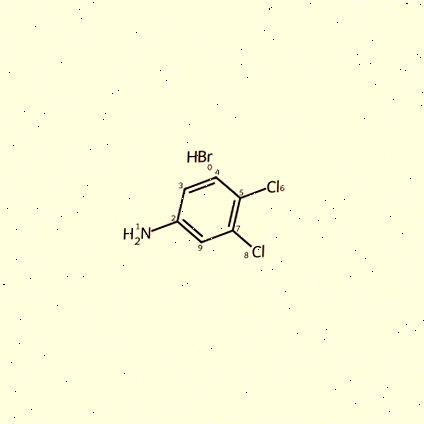 Br.Nc1ccc(Cl)c(Cl)c1